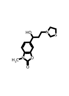 Cn1c(=O)oc2cc(C(O)CCN3CCSC3)ccc21